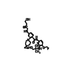 CC(C)(CO)Nc1nc(NC(=O)c2ccc(NC[S+]([O-])CCO)cc2N2CCC3(CC2)CC3)ccc1OCF